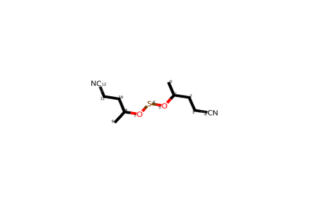 CC(CCC#N)OSOC(C)CCC#N